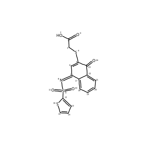 O=C(O)CSC1=C/C(=N/S(=O)(=O)c2cccs2)c2ccccc2C1=O